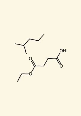 CCCC(C)C.CCOC(=O)CCC(=O)O